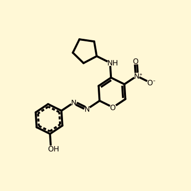 O=[N+]([O-])C1=COC(N=Nc2cccc(O)c2)C=C1NC1CCCC1